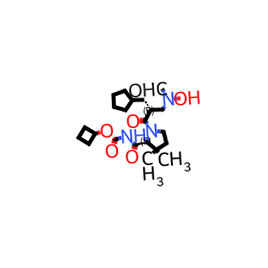 CC1(C)CCN(C(=O)[C@H](CC2CCCC2)CN(O)C=O)[C@@H]1C(=O)NC(=O)OC1CCC1